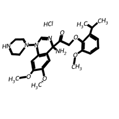 COc1cc2c(cc1OC)C(N)(C(=O)COc1c(OC)cccc1C(C)C)N=CN2N1CCNCC1.Cl